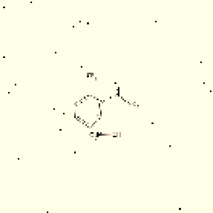 NNc1ccccc1C(F)(F)F.O=[N+]([O-])O